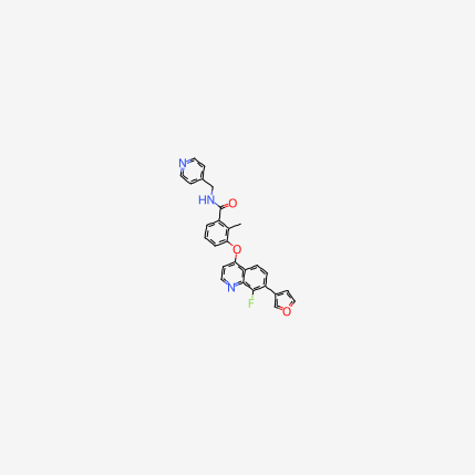 Cc1c(Oc2ccnc3c(F)c(-c4ccoc4)ccc23)cccc1C(=O)NCc1ccncc1